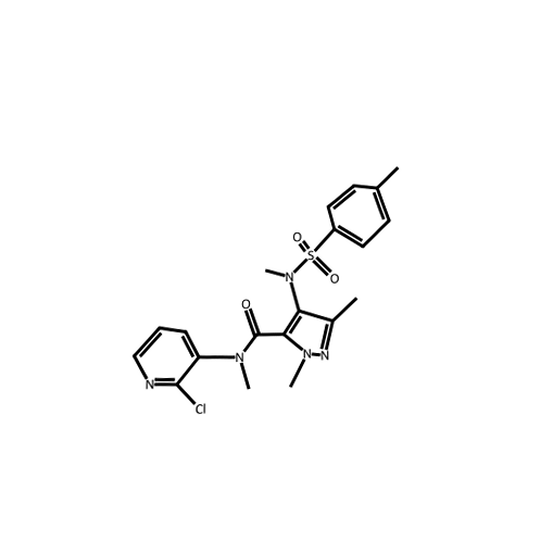 Cc1ccc(S(=O)(=O)N(C)c2c(C)nn(C)c2C(=O)N(C)c2cccnc2Cl)cc1